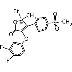 CC[C@@]1(C)OC(=O)C(Oc2ccc(F)c(F)c2)=C1c1ccc(S(C)(=O)=O)cc1